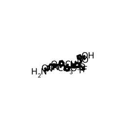 Cc1c(-c2nc3c(o2)CCN(CC(N)=O)C3)cccc1-c1cccc(-c2nc3cc(CN4CCC[C@H]4C(=O)O)c(OC(F)F)cc3o2)c1C